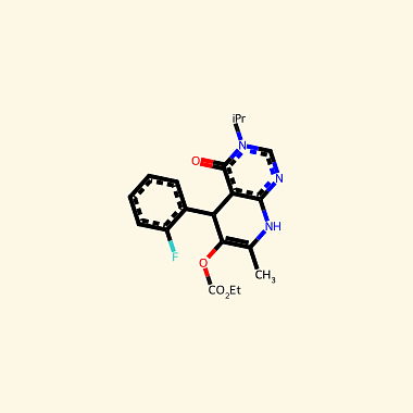 CCOC(=O)OC1=C(C)Nc2ncn(C(C)C)c(=O)c2C1c1ccccc1F